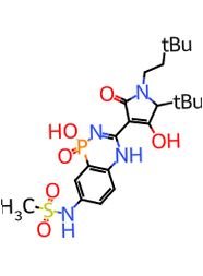 CC(C)(C)CCN1C(=O)C(C2=NP(=O)(O)c3cc(NS(C)(=O)=O)ccc3N2)=C(O)C1C(C)(C)C